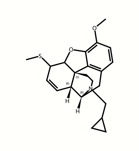 COc1ccc2c3c1OC1C(SC)C=C[C@H]4[C@@H](C2)N(CC2CC2)CC[C@]314